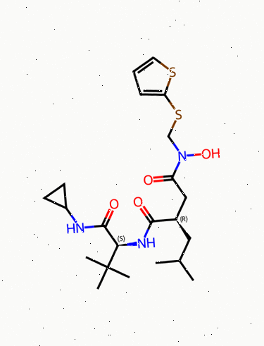 CC(C)C[C@H](CC(=O)N(O)CSc1cccs1)C(=O)N[C@H](C(=O)NC1CC1)C(C)(C)C